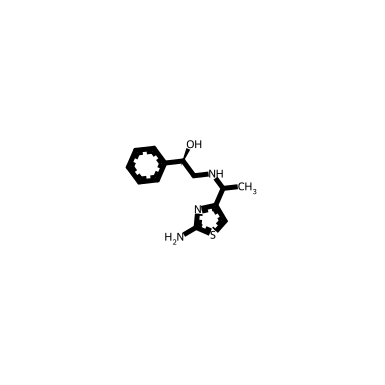 C[C](NC[C@H](O)c1ccccc1)c1csc(N)n1